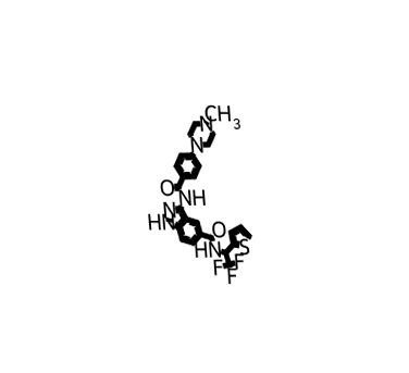 CN1CCN(c2ccc(C(=O)Nc3n[nH]c4ccc(C(=O)NC(c5cccs5)C(F)(F)F)cc34)cc2)CC1